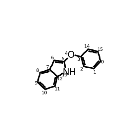 c1ccc(Oc2cc3ccccc3[nH]2)cc1